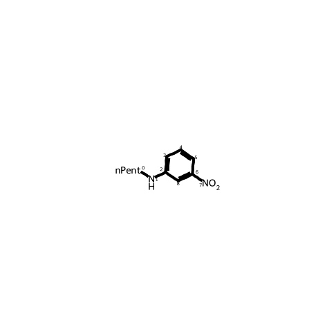 CCCCCNc1cccc([N+](=O)[O-])c1